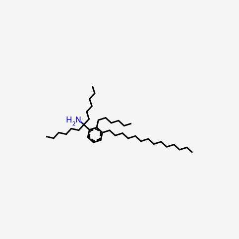 CCCCCCCCCCCCCCc1cccc(C(N)(CCCCCC)CCCCCC)c1CCCCCC